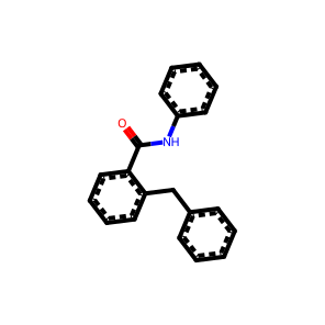 O=C(Nc1ccccc1)c1ccccc1Cc1ccccc1